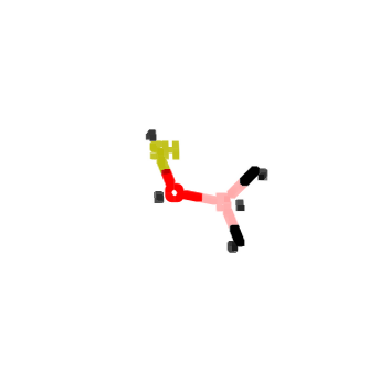 CB(C)OS